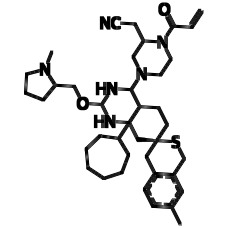 C=CC(=O)N1CCN(C2NC(OCC3CCCN3C)NC3(C4CCCCCC4)C[C@]4(CCC23)Cc2ccc(C)cc2CS4)CC1CC#N